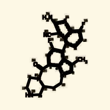 Cc1cn2c3c(cc(F)c(-c4ccc(F)c5sc(N)c(C#N)c45)c13)C(=O)N1CCNCC1CC2